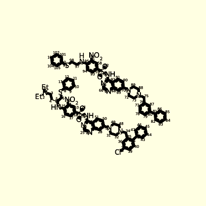 CCN(CC)CC[C@H](CSc1ccccc1)Nc1ccc(S(=O)(=O)Nc2ncnc3cc(N4CCN(Cc5cc(Cl)ccc5-c5ccccc5)CC4)ccc23)cc1[N+](=O)[O-].O=[N+]([O-])c1cc(S(=O)(=O)Nc2ncnc3cc(N4CCN(Cc5cccc(-c6ccccc6)c5)CC4)ccc23)ccc1NCCSc1ccccc1